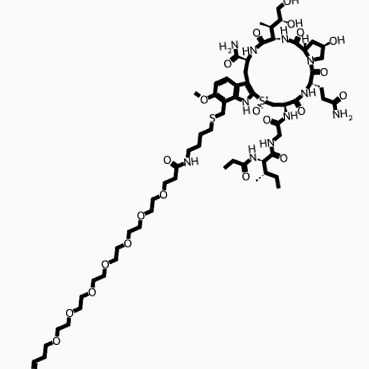 CCC(=O)N[C@H](C(=O)NCC(=O)N[C@H]1C[S+]([O-])c2[nH]c3c(CSCCCCNC(=O)CCOCCOCCOCCOCCOCCOCCOCCC=O)c(OC)ccc3c2C[C@@H](C(N)=O)NC(=O)[C@H]([C@@H](C)[C@@H](O)CO)NC(=O)[C@@H]2C[C@@H](O)CN2C(=O)[C@H](CCC(N)=O)NC1=O)[C@@H](C)CC